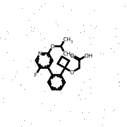 CC(C)Oc1cc(-c2ccccc2C2(OCC(=O)O)CCC2)c(F)cn1